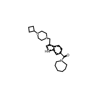 O=C(c1ccc2c(CN3CCN(C4CCC4)CC3)c[nH]c2c1)N1CCCCCC1